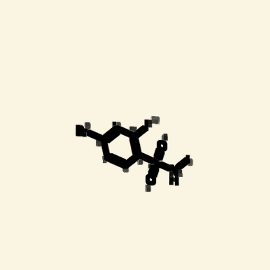 [CH2]NS(=O)(=O)c1ccc(Br)cc1F